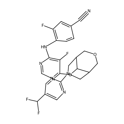 N#Cc1ccc(Nc2ncnc(OC3C4COCC3CN(c3ncc(C(F)F)cn3)C4)c2F)c(F)c1